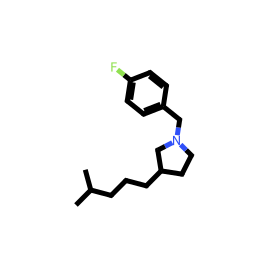 CC(C)CCCC1CCN(Cc2ccc(F)cc2)C1